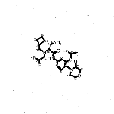 NC[C@H](C(=O)Nc1ccc(N2CCOCC2=O)c(OC(F)F)c1)N(CC(F)F)CC1CCC1